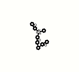 c1ccc(-c2nc(-c3ccc4c(c3)oc3ccccc34)nc(-c3ccc4c(c3)oc3cc(-c5ccccc5-c5ccc6c(c5)oc5ccccc56)ccc34)n2)cc1